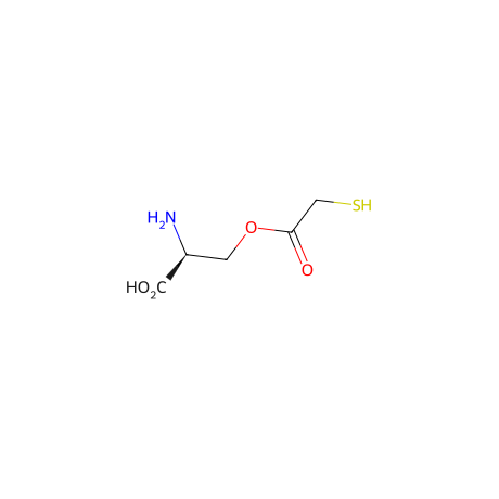 N[C@@H](COC(=O)CS)C(=O)O